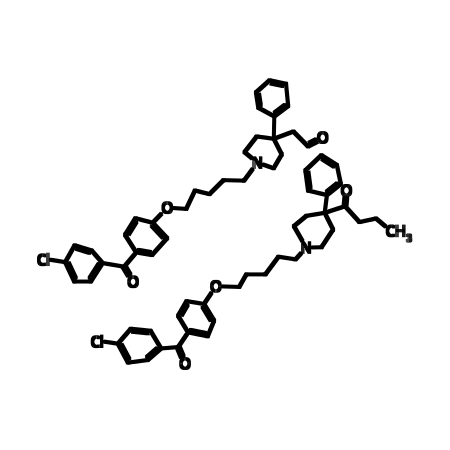 CCCC(=O)C1(c2ccccc2)CCN(CCCCCOc2ccc(C(=O)c3ccc(Cl)cc3)cc2)CC1.O=CCC1(c2ccccc2)CCN(CCCCCOc2ccc(C(=O)c3ccc(Cl)cc3)cc2)CC1